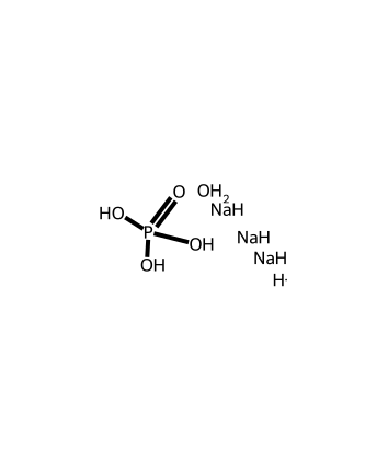 O.O=P(O)(O)O.[H].[NaH].[NaH].[NaH]